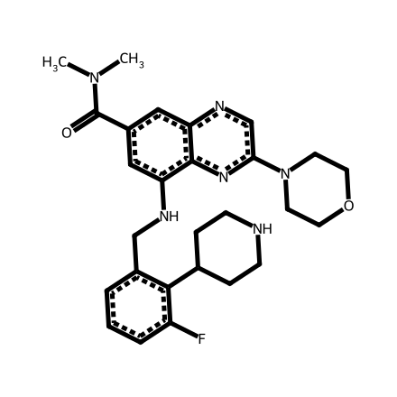 CN(C)C(=O)c1cc(NCc2cccc(F)c2C2CCNCC2)c2nc(N3CCOCC3)cnc2c1